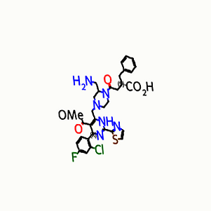 COC(=O)C1=C(CN2CCN(C(=O)C[C@H](Cc3ccccc3)C(=O)O)C(CN)C2)NC(c2nccs2)=N[C@H]1c1ccc(F)cc1Cl